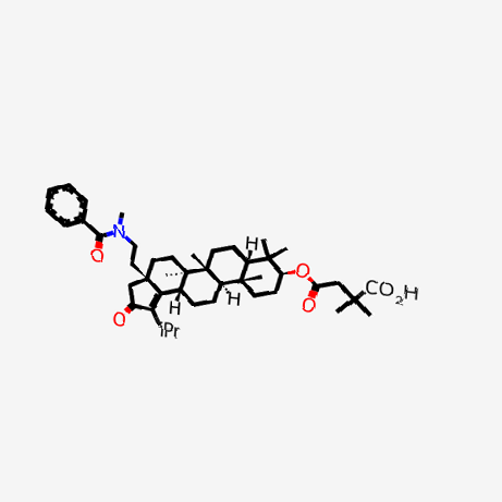 CC(C)C1=C2[C@H]3CC[C@@H]4[C@@]5(C)CC[C@H](OC(=O)CC(C)(C)C(=O)O)C(C)(C)[C@H]5CC[C@@]4(C)[C@]3(C)CC[C@@]2(CCN(C)C(=O)c2ccccc2)CC1=O